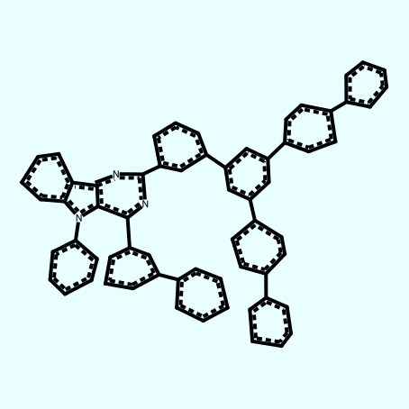 c1ccc(-c2ccc(-c3cc(-c4ccc(-c5ccccc5)cc4)cc(-c4cccc(-c5nc(-c6cccc(-c7ccccc7)c6)c6c(n5)c5ccccc5n6-c5ccccc5)c4)c3)cc2)cc1